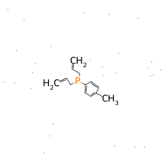 C=CCP(CC=C)c1ccc(C)cc1